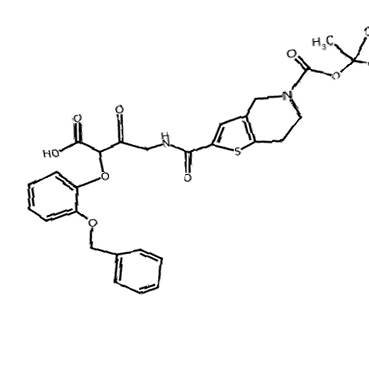 CC(C)(C)OC(=O)N1CCc2sc(C(=O)NCC(=O)C(Oc3ccccc3OCc3ccccc3)C(=O)O)cc2C1